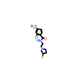 Cc1ccc(C(=O)NCCN2CCC(F)C2)c(Cl)c1